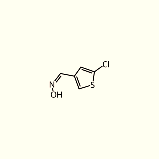 O/N=C\c1csc(Cl)c1